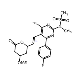 COC1CC(=O)OC(/C=C/c2c(-c3ccc(F)cc3)nc(N(C)S(C)(=O)=O)nc2C(C)C)C1